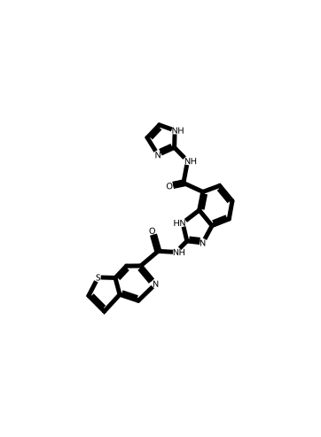 O=C(Nc1nc2cccc(C(=O)Nc3ncc[nH]3)c2[nH]1)c1cc2sccc2cn1